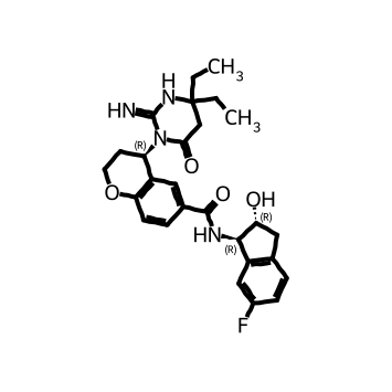 CCC1(CC)CC(=O)N([C@@H]2CCOc3ccc(C(=O)N[C@@H]4c5cc(F)ccc5C[C@H]4O)cc32)C(=N)N1